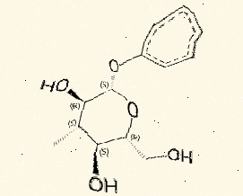 C[C@@H]1[C@@H](O)[C@H](Oc2ccccc2)O[C@H](CO)[C@H]1O